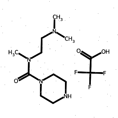 CN(C)CCN(C)C(=O)N1CCNCC1.O=C(O)C(F)(F)F